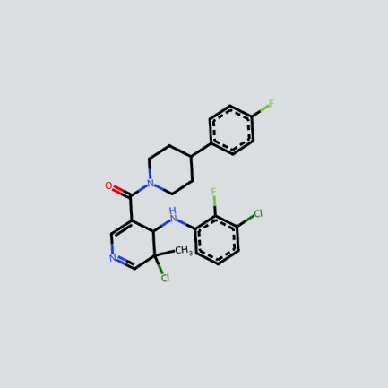 CC1(Cl)C=NC=C(C(=O)N2CCC(c3ccc(F)cc3)CC2)C1Nc1cccc(Cl)c1F